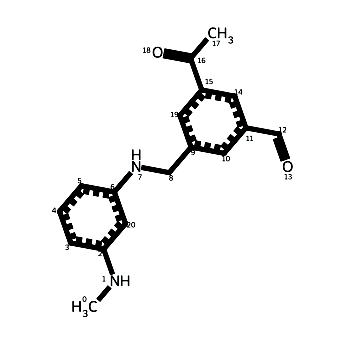 CNc1cccc(NCc2cc(C=O)cc(C(C)=O)c2)c1